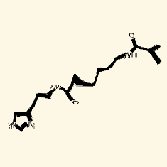 C=C(C)C(=O)NCCCCCC(=O)NCCc1c[nH]cn1